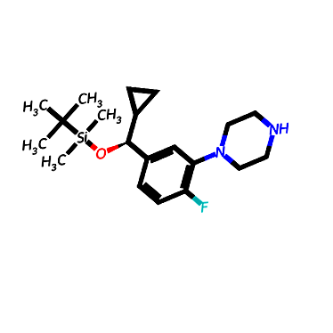 CC(C)(C)[Si](C)(C)O[C@H](c1ccc(F)c(N2CCNCC2)c1)C1CC1